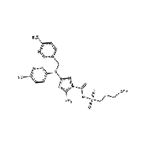 COCCCS(=O)(=O)NC(=O)c1nc(N(Cc2ccc(C(F)(F)F)nc2)c2ccc(C#N)cc2)sc1C